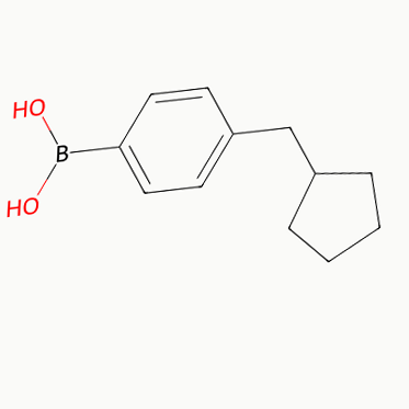 OB(O)c1ccc(CC2CCCC2)cc1